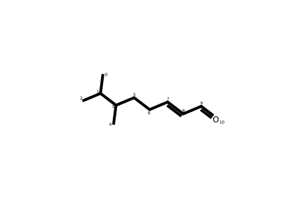 CC(C)C(C)CCC=CC=O